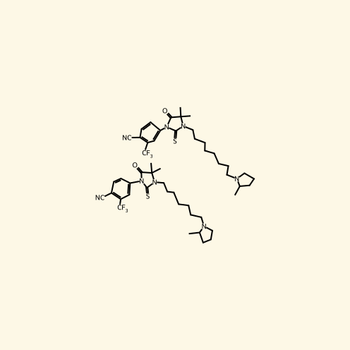 CC1CCCN1CCCCCCCCN1C(=S)N(c2ccc(C#N)c(C(F)(F)F)c2)C(=O)C1(C)C.CC1CCCN1CCCCCCCN1C(=S)N(c2ccc(C#N)c(C(F)(F)F)c2)C(=O)C1(C)C